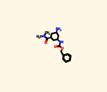 CN(C)C(=O)[C@H]1C[C@@H](N)C[C@@H](NC(=O)OCc2ccccc2)C1